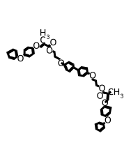 CC(=COc1ccc(Oc2ccccc2)cc1)C(=O)OCCCOc1ccc(-c2ccc(OCCCOC(=O)C(C)=COc3ccc(Oc4ccccc4)cc3)cc2)cc1